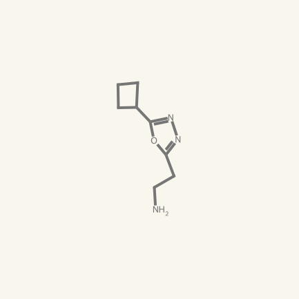 NCCc1nnc(C2CCC2)o1